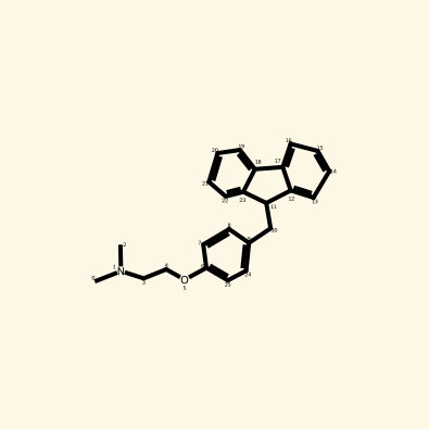 CN(C)CCOc1ccc(CC2c3ccccc3-c3ccccc32)cc1